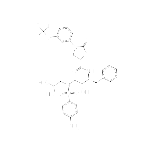 CC(C)CN(C[C@@H](O)[C@H](Cc1ccccc1)NC(=O)[C@@H]1CN(c2cccc(OC(F)(F)F)c2)C(=O)O1)S(=O)(=O)c1ccc(N)cc1